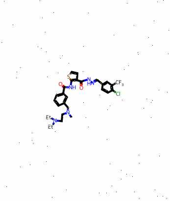 CCN(CC)CCN(C)Cc1cccc(C(=O)Nc2sccc2C(=O)N/N=C/c2ccc(Cl)c(C(F)(F)F)c2)c1